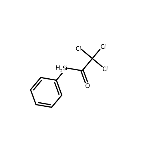 O=C([SiH2]c1ccccc1)C(Cl)(Cl)Cl